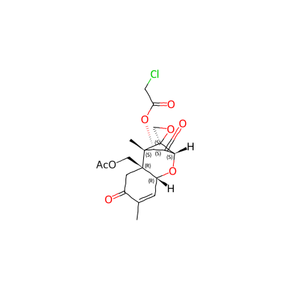 CC(=O)OC[C@]12CC(=O)C(C)=C[C@H]1O[C@@H]1C(=O)[C@@H](OC(=O)CCl)[C@@]2(C)[C@]12CO2